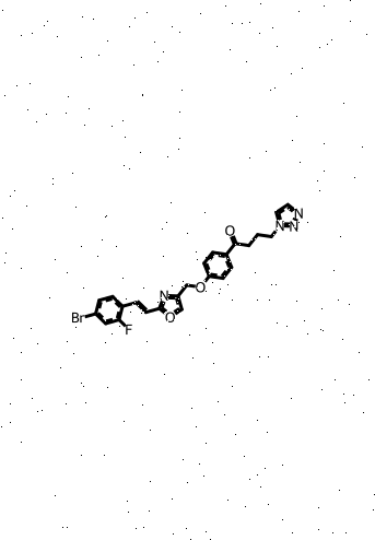 O=C(CCCn1ccnn1)c1ccc(OCc2coc(C=Cc3ccc(Br)cc3F)n2)cc1